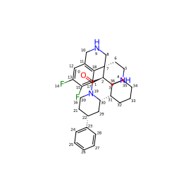 O=C([C@@H]1CNCC[C@]12CNCc1cc(F)c(F)cc12)N1CC[C@@H](c2ccccc2)C[C@H]1C1CCCCC1